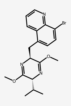 COC1=N[C@H](C(C)C)C(OC)=N[C@H]1Cc1ccc(Br)c2ncccc12